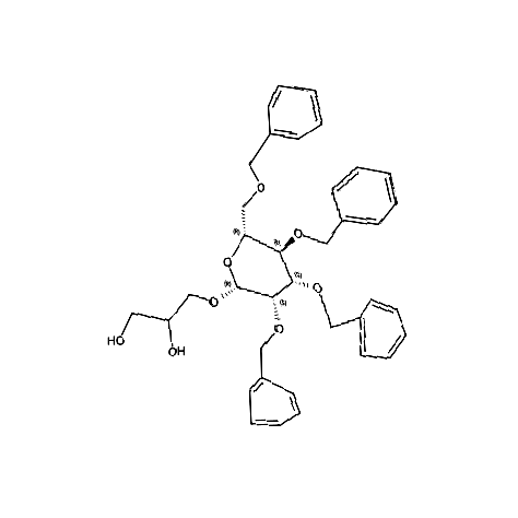 OCC(O)CO[C@@H]1O[C@H](COCc2ccccc2)[C@@H](OCc2ccccc2)[C@H](OCc2ccccc2)[C@@H]1OCc1ccccc1